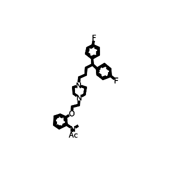 CC(=O)N(C)c1ccccc1OCCN1CCN(CCCC(c2ccc(F)cc2)c2ccc(F)cc2)CC1